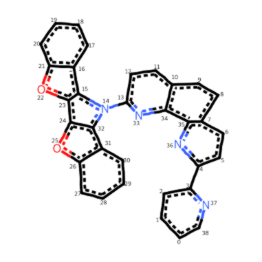 c1ccc(-c2ccc3ccc4ccc(-n5c6c7ccccc7oc6c6oc7ccccc7c65)nc4c3n2)nc1